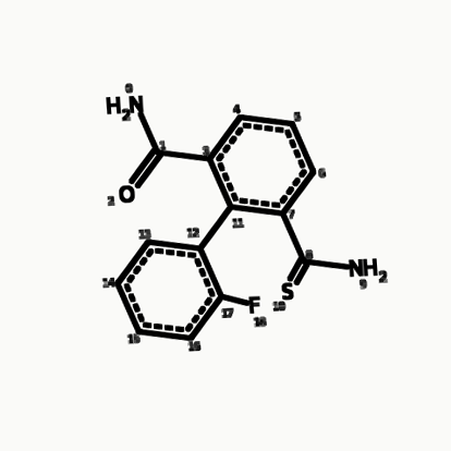 NC(=O)c1cccc(C(N)=S)c1-c1ccccc1F